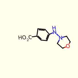 O=C(O)c1ccc(NN2CCOCC2)cc1